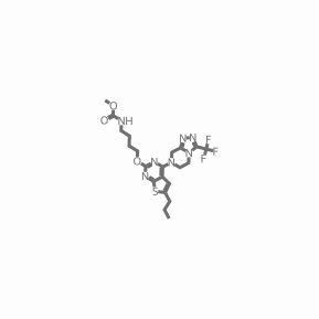 CCCc1cc2c(N3CCn4c(nnc4C(F)(F)F)C3)nc(OCCCCNC(=O)OC)nc2s1